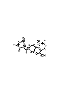 CN1CCN(C(=O)O)C(c2ccc(Nc3nc(Br)cn(C)c3=O)cc2)C1=O